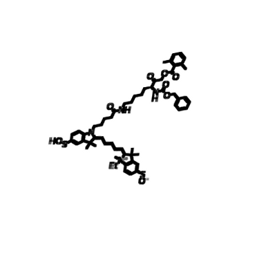 CC[N+]1(C)c2ccc(S[O-])cc2C(C)(C)C1/C=C/C=C/C=C1/N(CCCCC(=O)NCCCCC[C@H](NC(=O)OCc2ccccc2)C(=O)COC(=O)c2c(C)cccc2C)c2ccc(SO)cc2C1(C)C